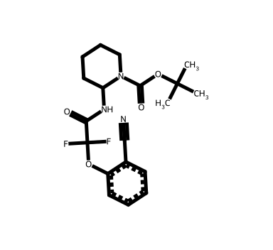 CC(C)(C)OC(=O)N1CCCCC1NC(=O)C(F)(F)Oc1ccccc1C#N